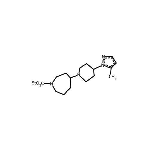 CCOC(=O)N1CCCC(N2CCC(n3nccc3C)CC2)CC1